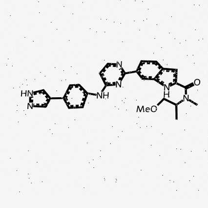 COCC(C)N(C)C(=O)c1cc2ccc(-c3nccc(Nc4ccc(-c5cn[nH]c5)cc4)n3)cc2[nH]1